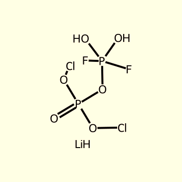 O=P(OCl)(OCl)OP(O)(O)(F)F.[LiH]